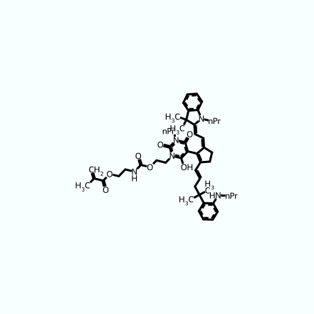 C=C(C)C(=O)OCCNC(=O)OCCn1c(O)c(C2=C(/C=C/CC(C)(C)c3ccccc3NCCC)CC/C2=C/C=C2\N(CCC)c3ccccc3C2(C)C)c(=O)n(CCC)c1=O